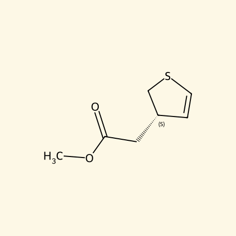 COC(=O)C[C@H]1C=CSC1